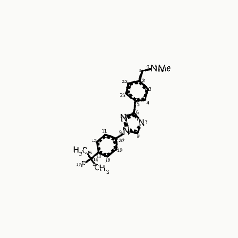 CNCc1ccc(-c2ncn(-c3ccc(C(C)(C)F)cc3)n2)cc1